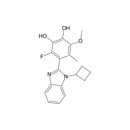 COc1c(C)c(-c2nc3ccccc3n2C2CCC2)c(F)c(O)c1O